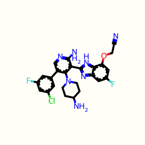 N#CCOc1cc(F)cc2nc(-c3c(N)ncc(-c4cc(F)cc(Cl)c4)c3N3CCC(N)CC3)[nH]c12